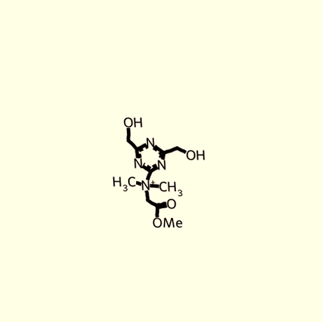 COC(=O)C[N+](C)(C)c1nc(CO)nc(CO)n1